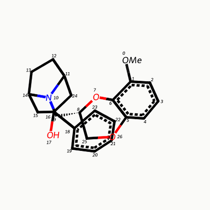 COc1cccc2c1O[C@@H](CN1C3CCC1CC(O)(c1ccccc1)C3)CO2